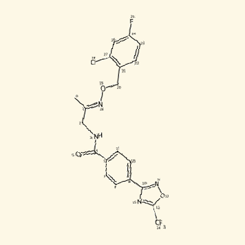 CC(CNC(=O)c1ccc(-c2noc(C(F)(F)F)n2)cc1)=NOCc1ccc(F)cc1Cl